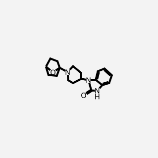 O=c1[nH]c2ccccc2n1C1CCN(C23CCC(CC2)O3)CC1